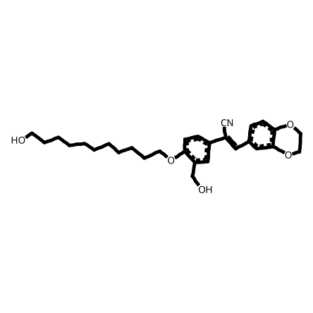 N#C/C(=C\c1ccc2c(c1)OCCO2)c1ccc(OCCCCCCCCCCCO)c(CO)c1